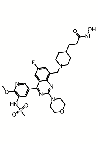 COc1ncc(-c2nc(N3CCOCC3)nc3c(CN4CCC(CCC(=O)NO)CC4)cc(F)cc23)cc1NS(C)(=O)=O